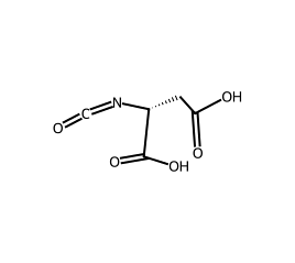 O=C=N[C@H](CC(=O)O)C(=O)O